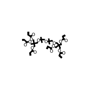 C=CC(=O)OCC(COCC(C)(C)OCC(C)(C)OCC(COC(=O)C=C)(COC(=O)C=C)COC(=O)C=C)(COC(=O)C=C)COC(=O)C=C